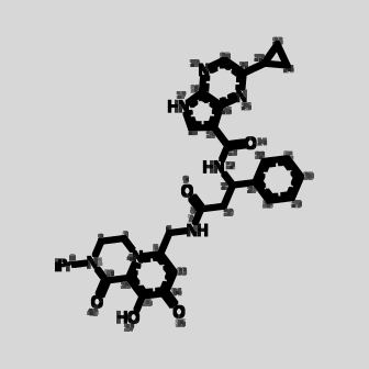 CC(C)N1CCn2c(CNC(=O)CC(NC(=O)c3c[nH]c4ncc(C5CC5)nc34)c3ccccc3)cc(=O)c(O)c2C1=O